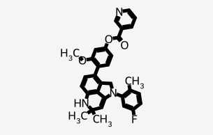 COc1cc(OC(=O)c2cccnc2)ccc1-c1ccc2c3c1CN(c1cc(F)ccc1C)C3=CC(C)(C)N2